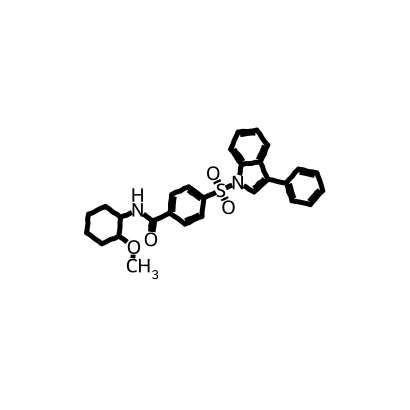 COC1CCCCC1NC(=O)c1ccc(S(=O)(=O)n2cc(-c3ccccc3)c3ccccc32)cc1